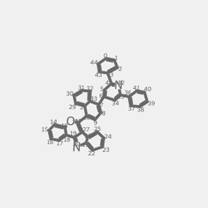 c1ccc(-c2cc(-c3ccc(-c4oc5ccccc5c5nc6ccccc6c4-5)c4ccccc34)cc(-c3ccccc3)n2)cc1